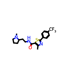 Cc1nc(-c2ccc(C(F)(F)F)cc2)sc1C(=O)NCCC1CCCN1C